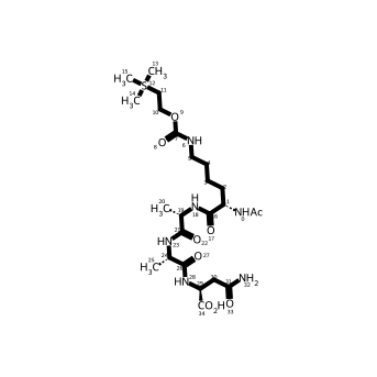 CC(=O)N[C@@H](CCCCNC(=O)OCCS(C)(C)C)C(=O)N[C@@H](C)C(=O)N[C@@H](C)C(=O)N[C@@H](CC(N)=O)C(=O)O